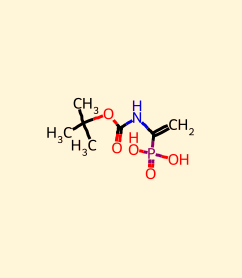 C=C(NC(=O)OC(C)(C)C)P(=O)(O)O